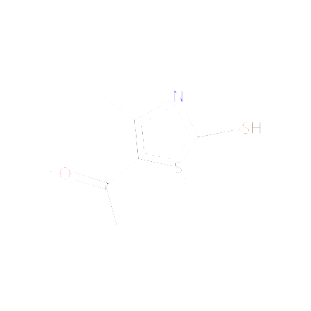 CC(=O)c1sc(S)nc1C